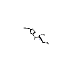 CN/C(=C\[N+](=O)[O-])N(C)c1cnc(Cl)s1